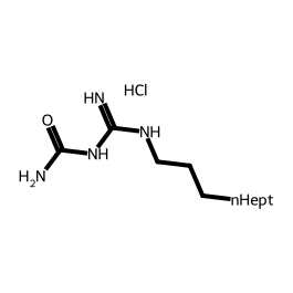 CCCCCCCCCCNC(=N)NC(N)=O.Cl